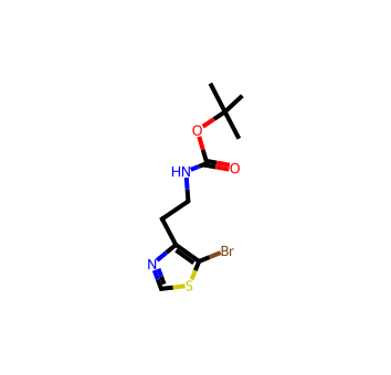 CC(C)(C)OC(=O)NCCc1ncsc1Br